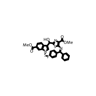 COC(=O)c1ccc2c(C(O)c3nc(C(=O)OC)c(N=C(c4ccccc4)c4ccccc4)s3)cn(SF)c2c1